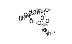 O=[PH]([O-])[O-].O=[PH]([O-])[O-].O=[PH]([O-])[O-].[Rh+3].[Rh+3]